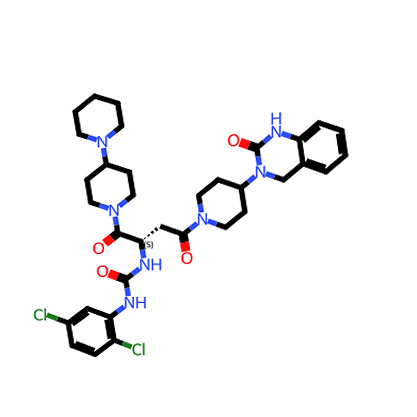 O=C(Nc1cc(Cl)ccc1Cl)N[C@@H](CC(=O)N1CCC(N2Cc3ccccc3NC2=O)CC1)C(=O)N1CCC(N2CCCCC2)CC1